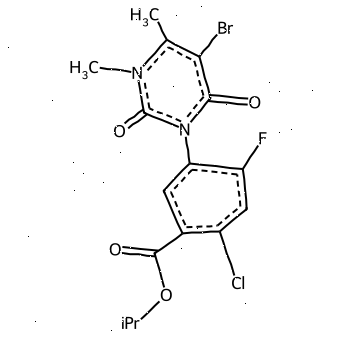 Cc1c(Br)c(=O)n(-c2cc(C(=O)OC(C)C)c(Cl)cc2F)c(=O)n1C